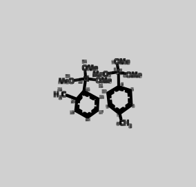 CO[Si](OC)(OC)c1ccc(C)cc1.CO[Si](OC)(OC)c1ccccc1C